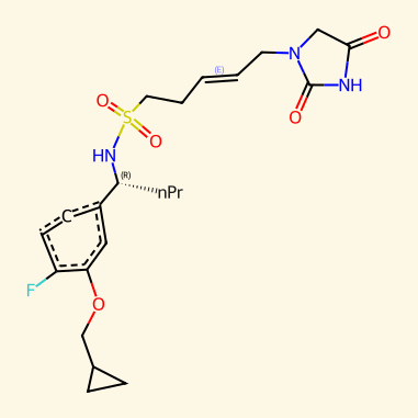 CCC[C@@H](NS(=O)(=O)CC/C=C/CN1CC(=O)NC1=O)c1ccc(F)c(OCC2CC2)c1